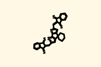 S=C1C(=Cc2cc3c(s2)-c2sc(C=C4C(=S)c5ccccc5C4=S)cc2C32CCCCC2)C(=S)c2ccccc21